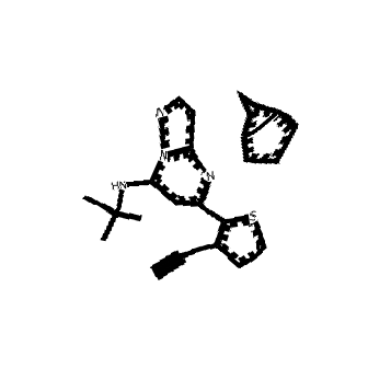 C#Cc1ccsc1-c1cc(NC(C)(C)C)n2nccc2n1.c1cc2cc-2c1